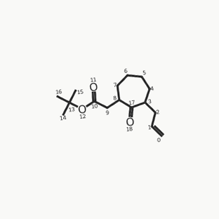 C=CCC1CCCCC(CC(=O)OC(C)(C)C)C1=O